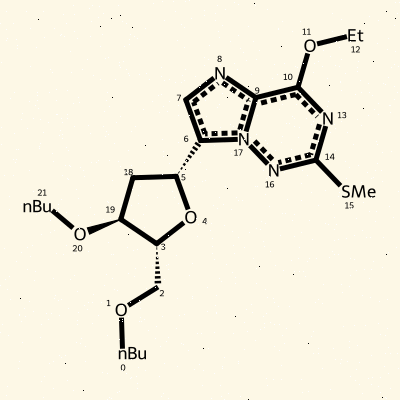 CCCCOC[C@H]1O[C@@H](c2cnc3c(OCC)nc(SC)nn23)C[C@@H]1OCCCC